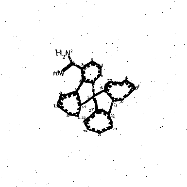 N=C(N)c1cccc2c1-c1ccccc1C21c2ccccc2-c2ccccc21